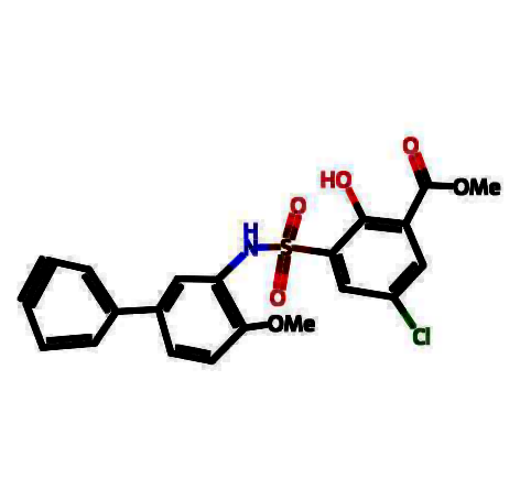 COC(=O)c1cc(Cl)cc(S(=O)(=O)Nc2cc(-c3cc#ccc3)ccc2OC)c1O